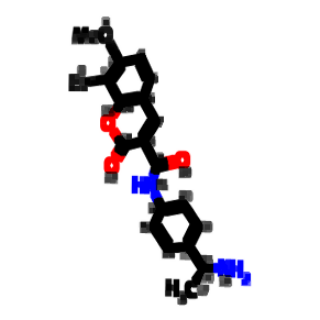 CCc1c(OC)ccc2cc(C(=O)Nc3ccc([C@H](C)N)cc3)c(=O)oc12